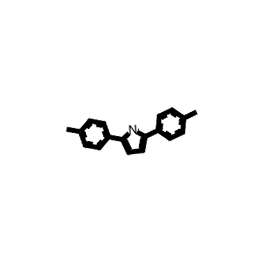 Cc1ccc(C2=CC=C(c3ccc(C)cc3)[N]2)cc1